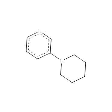 c1cncc(N2CCCCC2)c1